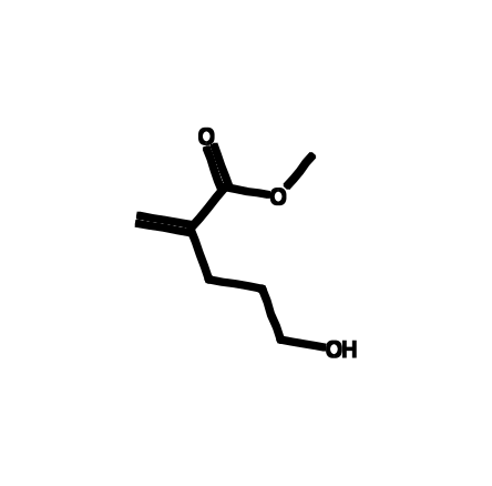 C=C(CCCO)C(=O)OC